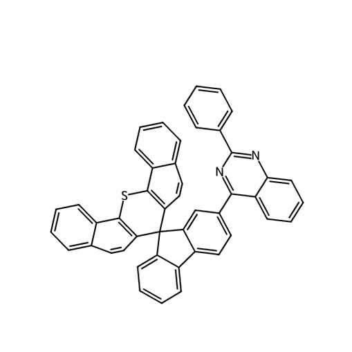 c1ccc(-c2nc(-c3ccc4c(c3)C3(c5ccccc5-4)c4ccc5ccccc5c4Sc4c3ccc3ccccc43)c3ccccc3n2)cc1